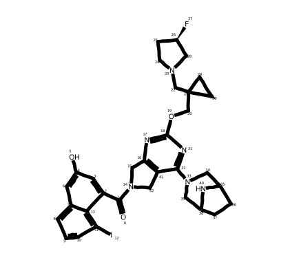 O=C(c1cc(O)cc2cccc(I)c12)N1Cc2nc(OCC3(CN4CC[C@@H](F)C4)CC3)nc(N3CC4CCC(C3)N4)c2C1